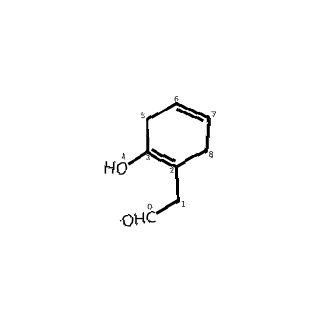 O=[C]CC1=C(O)CC=CC1